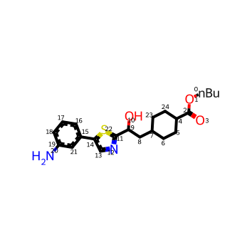 CCCCOC(=O)C1CCC(CC(O)c2ncc(-c3cccc(N)c3)s2)CC1